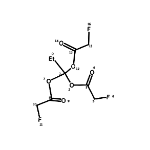 [CH2]CC(OC(=O)CF)(OC(=O)CF)OC(=O)CF